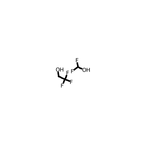 OC(F)F.OCC(F)(F)F